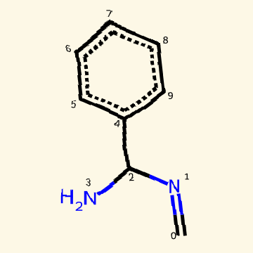 C=NC(N)c1ccccc1